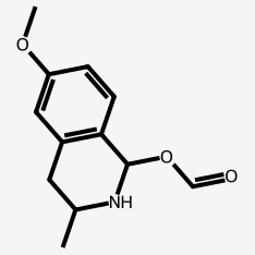 COc1ccc2c(c1)CC(C)NC2OC=O